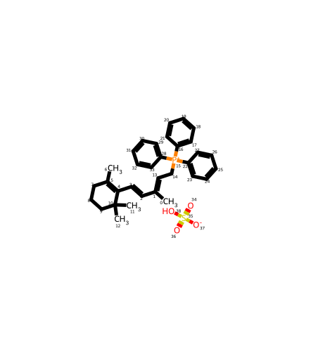 CC(C=CC1=C(C)CCCC1(C)C)=CC[P+](c1ccccc1)(c1ccccc1)c1ccccc1.O=S(=O)([O-])O